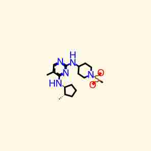 Cc1cnc(NC2CCN(S(C)(=O)=O)CC2)nc1N[C@@H]1CCC[C@@H]1C